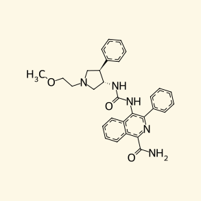 COCCN1C[C@@H](NC(=O)Nc2c(-c3ccccc3)nc(C(N)=O)c3ccccc23)[C@H](c2ccccc2)C1